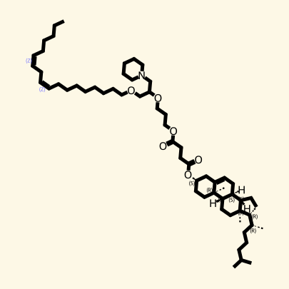 CCCCC/C=C\C/C=C\CCCCCCCCOCC(CN1CCCCC1)OCCCOC(=O)CCC(=O)O[C@H]1CC[C@@]2(C)C(=CC[C@H]3[C@@H]4CC[C@H]([C@H](C)CCCC(C)C)[C@@]4(C)CC[C@@H]32)C1